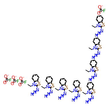 CC[n+]1c(N=[N+]=[N-])sc2ccccc21.CC[n+]1c(N=[N+]=[N-])sc2ccccc21.CC[n+]1c(N=[N+]=[N-])sc2ccccc21.CC[n+]1c(N=[N+]=[N-])sc2ccccc21.CC[n+]1c(N=[N+]=[N-])sc2ccccc21.CC[n+]1c(N=[N+]=[N-])sc2ccccc21.CC[n+]1c(N=[N+]=[N-])sc2ccccc21.CC[n+]1c(N=[N+]=[N-])sc2ccccc21.[O-]B([O-])F.[O-]B([O-])F.[O-]B([O-])F.[O-]B([O-])F